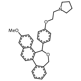 COc1ccc2c3c(ccc2c1)-c1ccccc1COC3c1ccc(OCCN2CCCC2)cc1